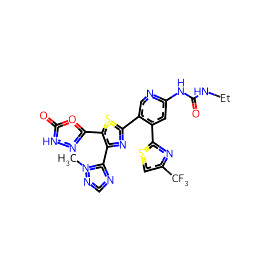 CCNC(=O)Nc1cc(-c2nc(C(F)(F)F)cs2)c(-c2nc(-c3ncnn3C)c(-c3n[nH]c(=O)o3)s2)cn1